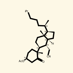 CC(=O)O[C@H]1CC[C@](C)([C@H]2CC[C@]3(C)[C@@H]([C@H](C)CCCC(C)C)CC[C@H]3[C@@H]2CC#N)C(=O)C1